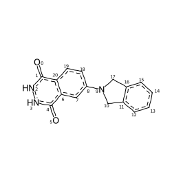 O=c1[nH][nH]c(=O)c2cc(N3Cc4ccccc4C3)ccc12